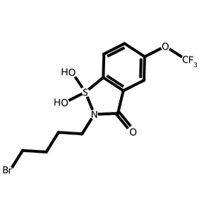 O=C1c2cc(OC(F)(F)F)ccc2S(O)(O)N1CCCCBr